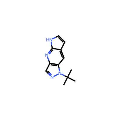 CC(C)(C)n1ncc2nc3[nH]ccc3cc21